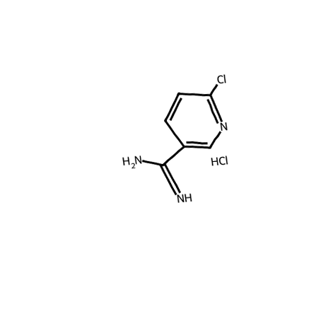 Cl.N=C(N)c1ccc(Cl)nc1